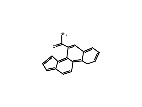 NC(=O)c1cc2c(c3ccc4c(c13)C=CC=4)CC=CC=2